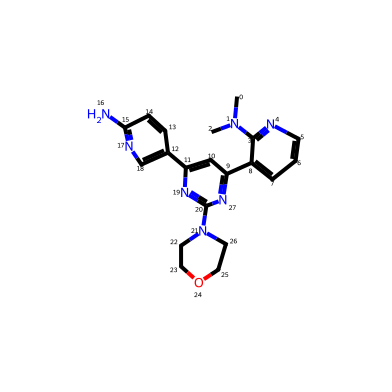 CN(C)c1ncccc1-c1cc(-c2ccc(N)nc2)nc(N2CCOCC2)n1